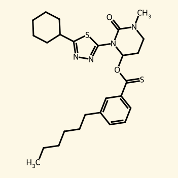 CCCCCCc1cccc(C(=S)OC2CCN(C)C(=O)N2c2nnc(C3CCCCC3)s2)c1